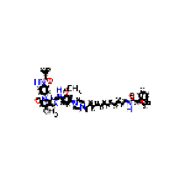 COc1cc(N2CCN(CCCCCCCCCCCCNC(=O)CC34CC5CC(CC(C5)C3)C4)CC2)ccc1Nc1ncc2c(C)cc(=O)n(-c3ccc(NC(=O)C4CC4)cc3)c2n1